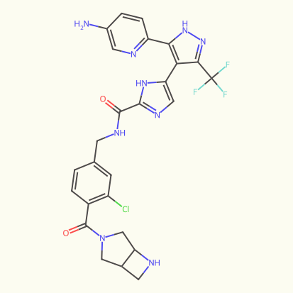 Nc1ccc(-c2[nH]nc(C(F)(F)F)c2-c2cnc(C(=O)NCc3ccc(C(=O)N4CC5CNC5C4)c(Cl)c3)[nH]2)nc1